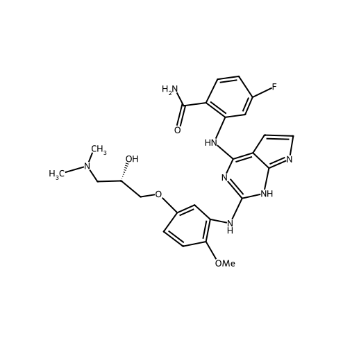 COc1ccc(OC[C@@H](O)CN(C)C)cc1Nc1nc(Nc2cc(F)ccc2C(N)=O)c2ccnc-2[nH]1